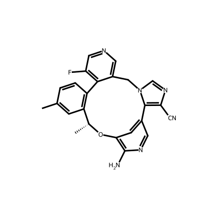 Cc1ccc2c(c1)[C@@H](C)Oc1cc(cnc1N)-c1c(C#N)ncn1Cc1cncc(F)c1-2